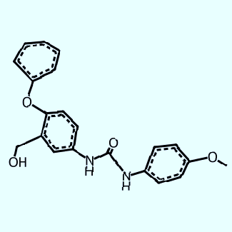 COc1ccc(NC(=O)Nc2ccc(Oc3ccccc3)c(CO)c2)cc1